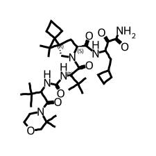 CC(C)(C)C(NC(=O)N[C@@H](C(=O)N1C[C@]2(C[C@H]1C(=O)NC(CC1CCC1)C(=O)C(N)=O)C(C)(C)C21CCC1)C(C)(C)C)C(=O)N1CCOCC1(C)C